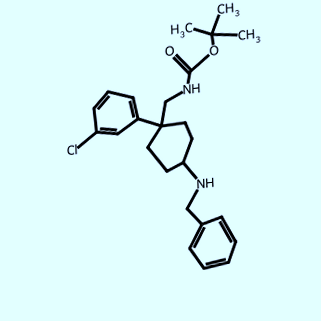 CC(C)(C)OC(=O)NCC1(c2cccc(Cl)c2)CCC(NCc2ccccc2)CC1